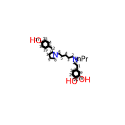 CCCN(CCCCCN1CCC[C@@H]1Cc1ccc(O)cc1)CCc1ccc(O)c(O)c1